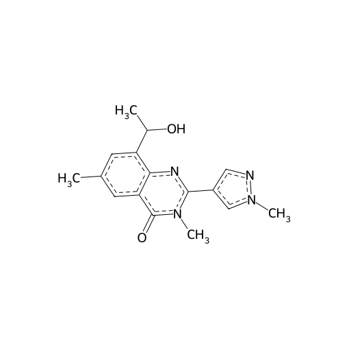 Cc1cc(C(C)O)c2nc(-c3cnn(C)c3)n(C)c(=O)c2c1